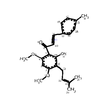 COc1cc(OC)c(C(=O)/C=C/c2ccc(C)cc2)c(O)c1CC=C(C)C